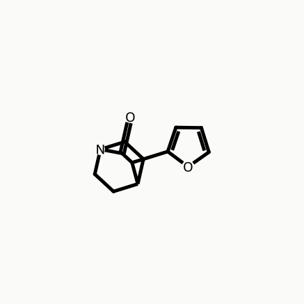 O=C1C(c2ccco2)C2CCN1CC2